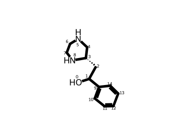 OC(C[C@H]1CNCCN1)c1ccccc1